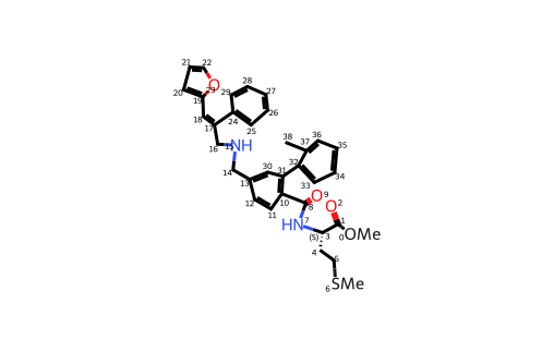 COC(=O)[C@H](CCSC)NC(=O)c1ccc(CNCC(=Cc2ccco2)c2ccccc2)cc1-c1ccccc1C